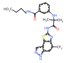 CC(C)(Nc1cccc(C(=O)NCCCC(=O)O)c1)C(=O)Nc1nc2c(C(F)(F)F)cc3[nH]ncc3c2s1